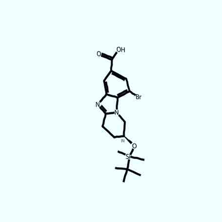 CC(C)(C)[Si](C)(C)O[C@H]1CCc2nc3cc(C(=O)O)cc(Br)c3n2C1